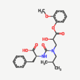 COc1ccccc1OC(=O)C(O)CN(CC(C)C)C(=O)N[C@@H](Cc1ccccc1)C(=O)O